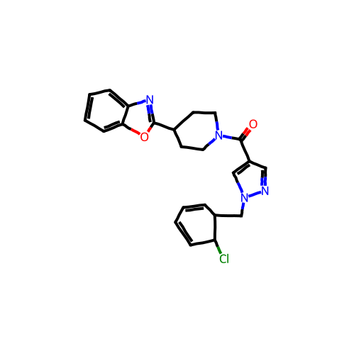 O=C(c1cnn(CC2C=CC=CC2Cl)c1)N1CCC(c2nc3ccccc3o2)CC1